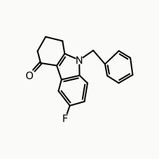 O=C1CCCc2c1c1cc(F)ccc1n2Cc1ccccc1